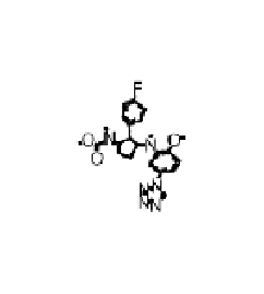 COC(=O)N(C)C1CCC(N(C)c2cc(-n3cnnn3)ccc2OC)C1c1ccc(F)cc1